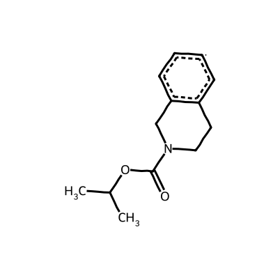 CC(C)OC(=O)N1CCc2c[c]ccc2C1